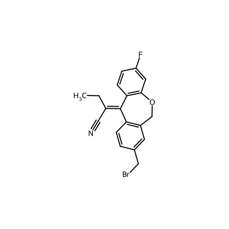 CC/C(C#N)=C1/c2ccc(CBr)cc2COc2cc(F)ccc21